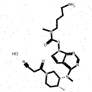 C[C@@H]1CCN(C(=O)CC#N)C[C@@H]1N(C)c1ncnc2c1ccn2OC(=O)N(C)CCCCN.Cl